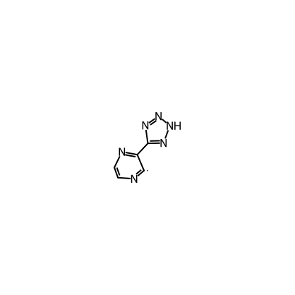 [c]1nccnc1-c1nn[nH]n1